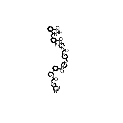 O=C(CN1CCC(CN2CCN(C(=O)c3cccc([C@@H]4CCCN(C(=O)CN5Cc6cncnc6C5)C4)c3)CC2)CC1)N1CCN(C(=O)c2cc(Cc3n[nH]c(=O)c4ccccc34)ccc2F)CC1